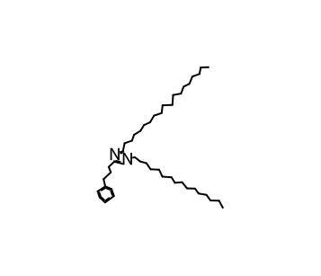 CCCCCCCCCCCCCCCCCCc1nc(CCCc2ccccc2)cn1CCCCCCCCCCCCCCCC